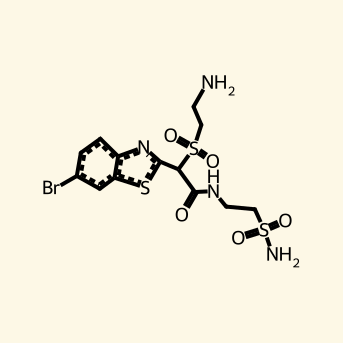 NCCS(=O)(=O)C(C(=O)NCCS(N)(=O)=O)c1nc2ccc(Br)cc2s1